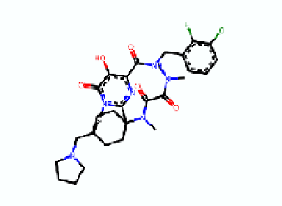 CN(C)C(=O)C(=O)N(C)C12CCC(CN3CCCC3)(CC1)Cn1c2nc(C(=O)NCc2cccc(Cl)c2F)c(O)c1=O